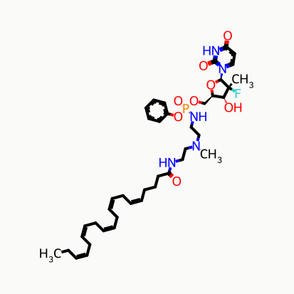 CC/C=C\C/C=C\C/C=C\C/C=C\C/C=C\CCCC(=O)NCCN(C)CCNP(=O)(OC[C@H]1O[C@@H](n2ccc(=O)[nH]c2=O)[C@](C)(F)[C@@H]1O)Oc1ccccc1